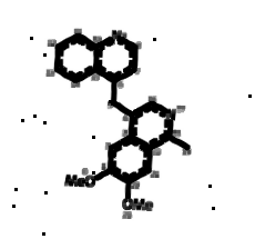 COc1cc2c(Cc3ccnc4ccccc34)cnc(C)c2cc1OC